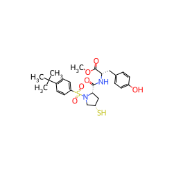 COC(=O)[C@H](Cc1ccc(O)cc1)NC(=O)[C@@H]1C[C@H](S)CN1S(=O)(=O)c1ccc(C(C)(C)C)cc1